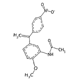 C=C(c1ccc([N+](=O)[O-])cc1)c1ccc(OC)c(NC(C)=O)c1